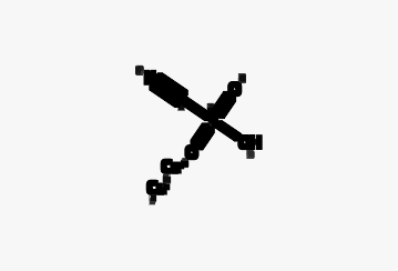 N#CS(=O)(=O)O.[Cu].[Cu]